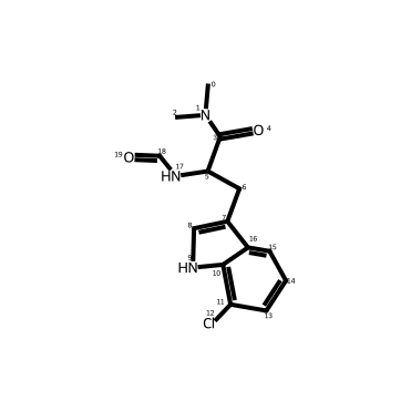 CN(C)C(=O)C(Cc1c[nH]c2c(Cl)cccc12)NC=O